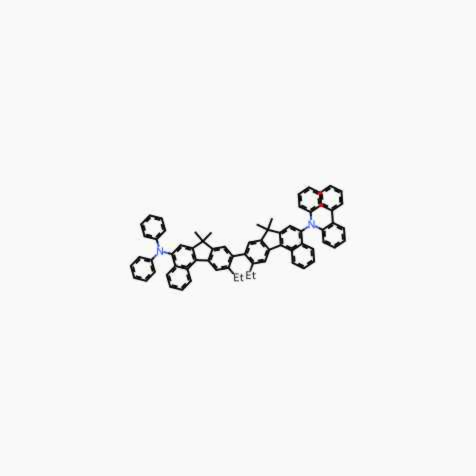 CCc1cc2c(cc1-c1cc3c(cc1CC)-c1c(cc(N(c4ccccc4)c4ccccc4-c4ccccc4)c4ccccc14)C3(C)C)C(C)(C)c1cc(N(c3ccccc3)c3ccccc3)c3ccccc3c1-2